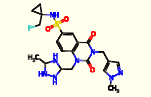 CC1NNC(Cn2c(=O)n(Cc3cnn(C)c3)c(=O)c3cc(S(=O)(=O)NC4(CF)CC4)ccc32)N1